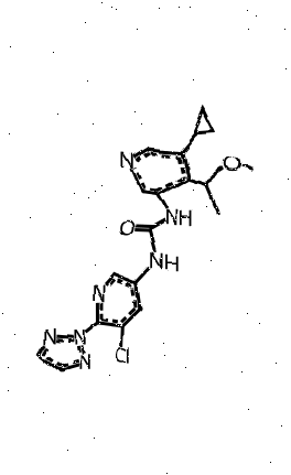 COC(C)c1c(NC(=O)Nc2cnc(-n3nccn3)c(Cl)c2)cncc1C1CC1